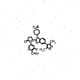 COc1ncc(N2C(=O)CC[C@H]2c2nc3cc(-c4c(C)noc4C)ccc3n2C2CCS(=O)(=O)CC2)cc1F